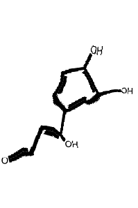 O=CC=C(O)c1ccc(O)c(O)c1